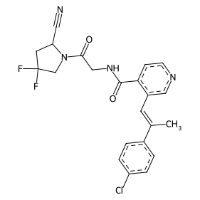 CC(=Cc1cnccc1C(=O)NCC(=O)N1CC(F)(F)CC1C#N)c1ccc(Cl)cc1